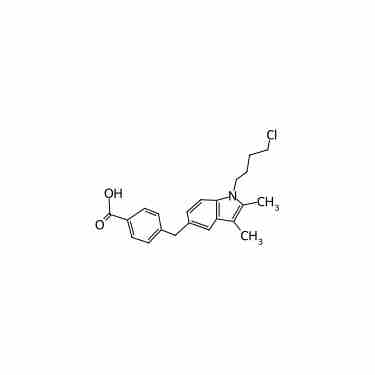 Cc1c(C)n(CCCCCl)c2ccc(Cc3ccc(C(=O)O)cc3)cc12